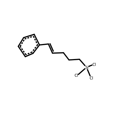 Cl[Si](Cl)(Cl)CCC/C=C/c1ccccc1